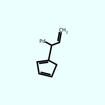 C=C[CH]([Pd])C1=CC=CC1